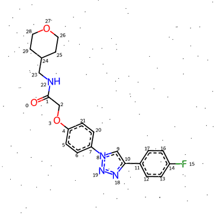 O=C(COc1ccc(-n2cc(-c3ccc(F)cc3)nn2)cc1)NCC1CCOCC1